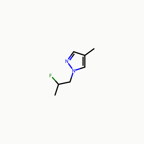 Cc1cnn(CC(C)F)c1